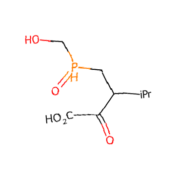 CC(C)C(C[PH](=O)CO)C(=O)C(=O)O